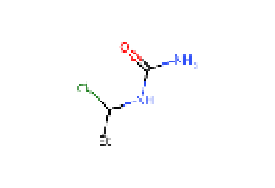 CCC(Cl)NC(N)=O